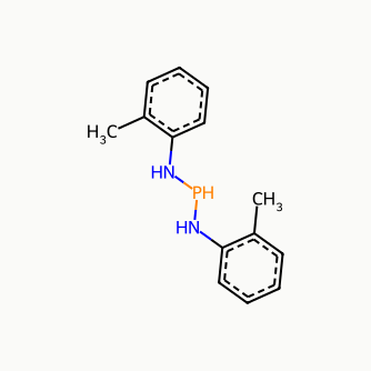 Cc1ccccc1NPNc1ccccc1C